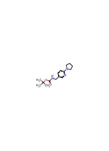 CC(C)(C)OC(=O)NCc1ccc(N2CCCC2)nc1